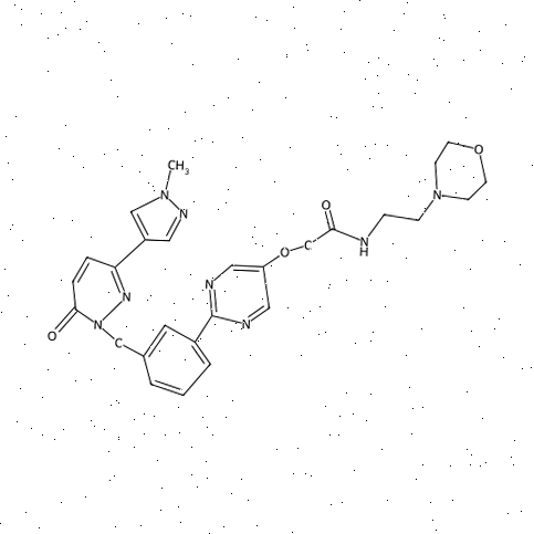 Cn1cc(-c2ccc(=O)n(Cc3cccc(-c4ncc(OCC(=O)NCCN5CCOCC5)cn4)c3)n2)cn1